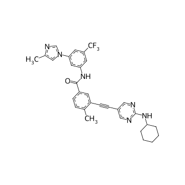 Cc1cn(-c2cc(NC(=O)c3ccc(C)c(C#Cc4cnc(NC5CCCCC5)nc4)c3)cc(C(F)(F)F)c2)cn1